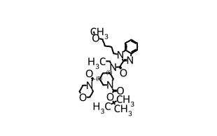 CCN(C(=O)c1nc2ccccc2n1CCCCOC)[C@H]1C[C@@H](C(=O)N2CCOCC2)CN(C(=O)OC(C)(C)C)C1